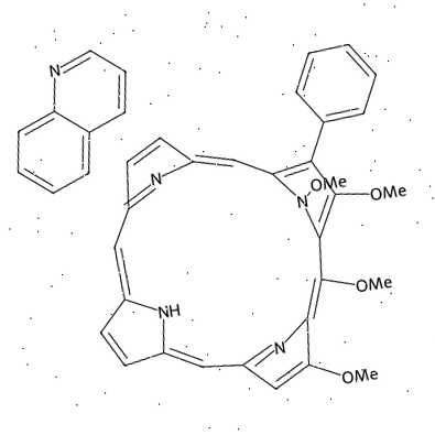 COC1=Cc2cc3ccc(cc4nc(cc5c(-c6ccccc6)c(OC)c(c(OC)c1n2)n5OC)C=C4)[nH]3.c1ccc2ncccc2c1